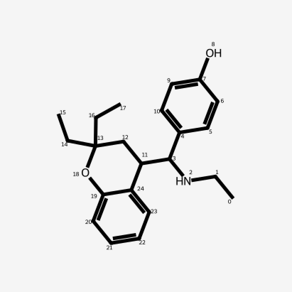 CCNC(c1ccc(O)cc1)C1CC(CC)(CC)Oc2ccccc21